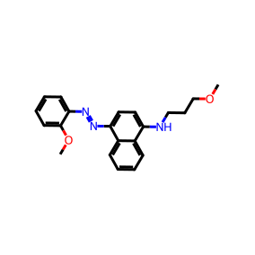 COCCCNc1ccc(N=Nc2ccccc2OC)c2ccccc12